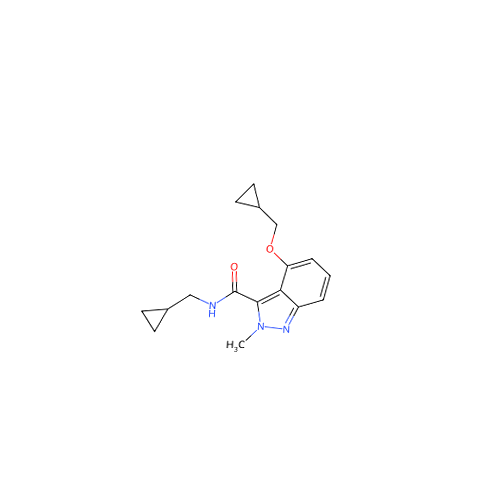 Cn1nc2cccc(OCC3CC3)c2c1C(=O)NCC1CC1